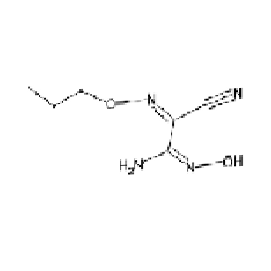 CCCO/N=C(C#N)\C(N)=N/O